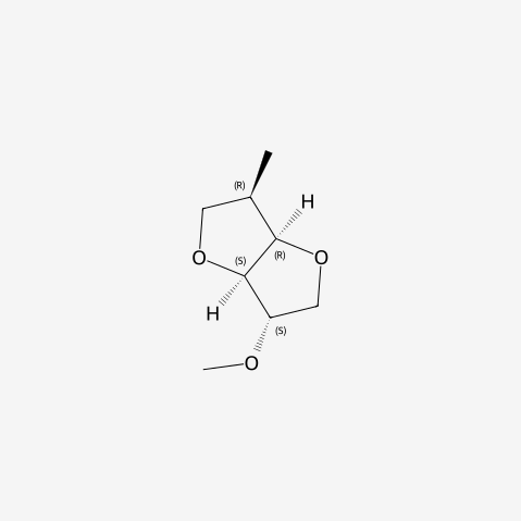 CO[C@H]1CO[C@H]2[C@@H]1OC[C@H]2C